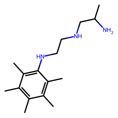 Cc1c(C)c(C)c(NCCNCC(C)N)c(C)c1C